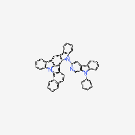 c1ccc(-n2c3ccccc3c3cc(-n4c5ccccc5c5cc6c7ccccc7n7c8c9ccccc9ccc8c(c54)c67)ncc32)cc1